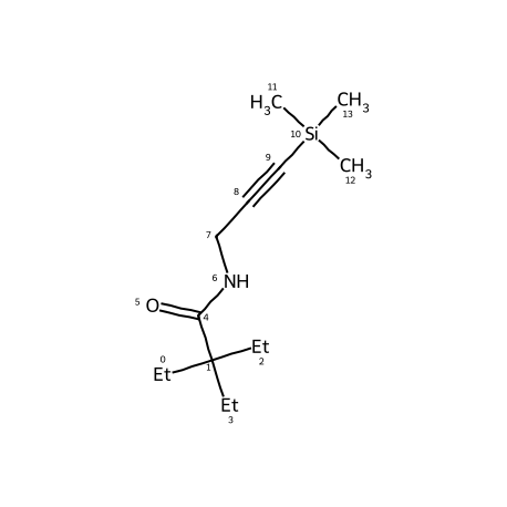 CCC(CC)(CC)C(=O)NCC#C[Si](C)(C)C